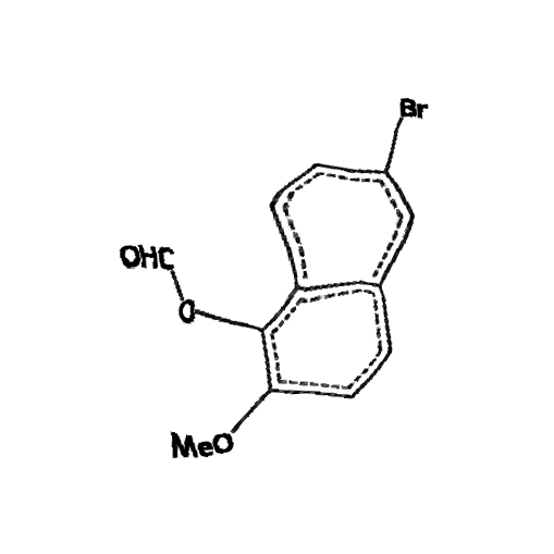 COc1ccc2cc(Br)ccc2c1OC=O